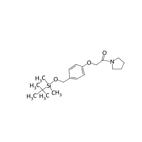 CC(C)(C)[Si](C)(C)OCc1ccc(OCC(=O)N2CCCC2)cc1